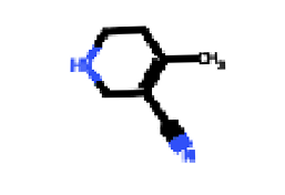 CC1=C(C#N)CNCC1